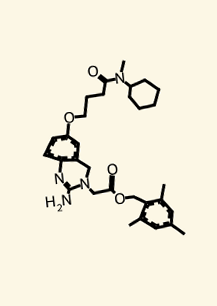 Cc1cc(C)c(COC(=O)CN2Cc3cc(OCCCC(=O)N(C)C4CCCCC4)ccc3N=C2N)c(C)c1